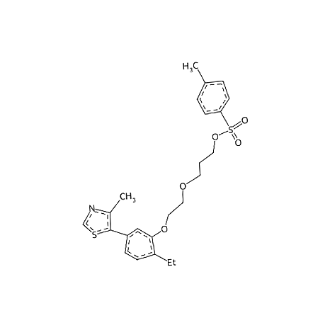 CCc1ccc(-c2scnc2C)cc1OCCOCCCOS(=O)(=O)c1ccc(C)cc1